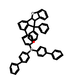 c1ccc(-c2ccc(N(c3ccc(-c4ccccc4)cc3)c3ccc(-c4cccc5c4C(c4ccccc4)(c4ccccc4)C4c6ccccc6OC54)cc3)cc2)cc1